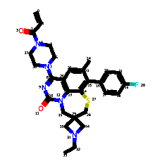 C=CC(=O)N1CCN(c2nc(=O)n3c4c(c(-c5ccc(F)cc5)c(C)cc24)SCC2(CN(CC)C2)C3)CC1